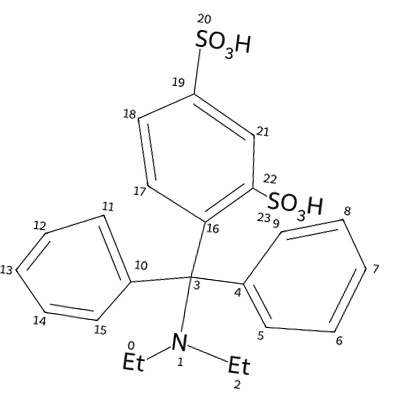 CCN(CC)C(c1ccccc1)(c1ccccc1)c1ccc(S(=O)(=O)O)cc1S(=O)(=O)O